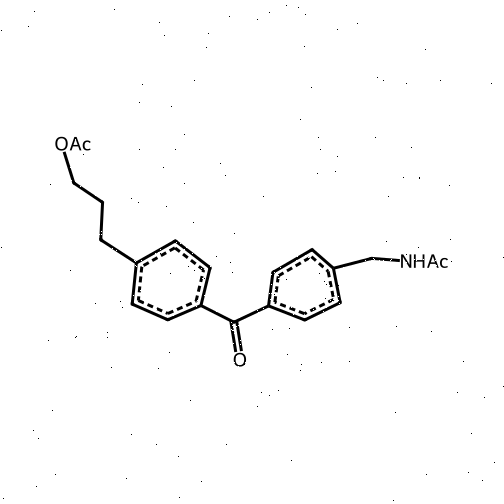 CC(=O)NCc1ccc(C(=O)c2ccc(CCCOC(C)=O)cc2)cc1